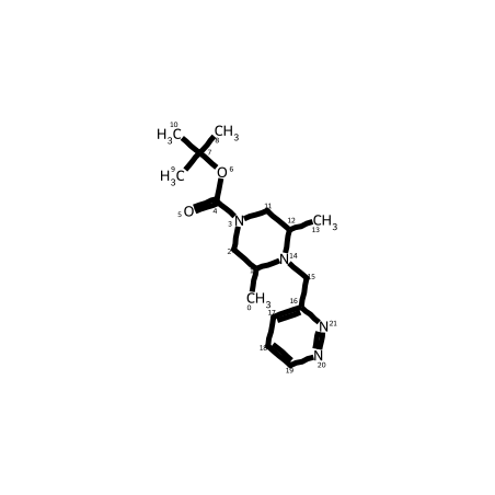 CC1CN(C(=O)OC(C)(C)C)CC(C)N1Cc1cccnn1